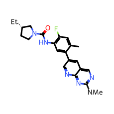 CC[C@H]1CCN(C(=O)Nc2cc(-c3cnc4nc(NC)ncc4c3)c(C)cc2F)C1